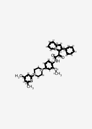 COc1cc(N2CCN(c3cc(C)cc(C)n3)CC2)ccc1NC(=O)C(=O)c1c(-c2ccccc2)cc2ccccn12